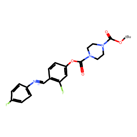 CC(C)(C)OC(=O)N1CCN(C(=O)Oc2ccc(/C=N/c3ccc(F)cc3)c(F)c2)CC1